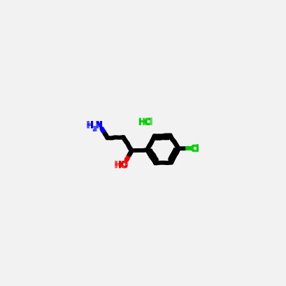 Cl.NCCC(O)c1ccc(Cl)cc1